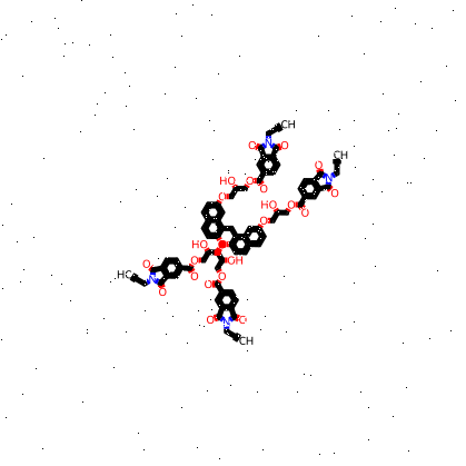 C#CCN1C(=O)c2ccc(C(=O)OCC(O)COc3ccc4ccc(OCC(O)COC(=O)c5ccc6c(c5)C(=O)N(CC#C)C6=O)c(Cc5c(OCC(O)COC(=O)c6ccc7c(c6)C(=O)N(CC#C)C7=O)ccc6ccc(OCC(O)COC(=O)c7ccc8c(c7)C(=O)N(CC#C)C8=O)cc56)c4c3)cc2C1=O